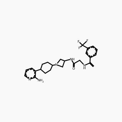 C=C(NCC(=O)NC1CN(C2CCC(c3cccnc3N)CC2)C1)c1cccc(C(F)(F)F)c1